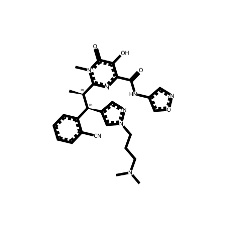 C[C@@H](c1nc(C(=O)Nc2cnoc2)c(O)c(=O)n1C)[C@@H](c1cnn(CCCN(C)C)c1)c1ccccc1C#N